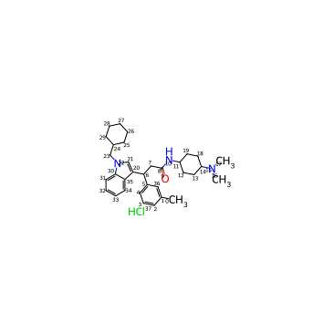 Cc1cccc(C(CC(=O)NC2CCC(N(C)C)CC2)c2cn(CC3CCCCC3)c3ccccc23)c1.Cl